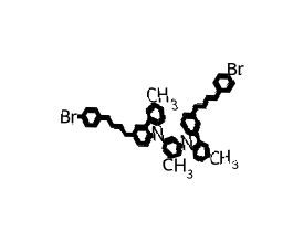 Cc1cc(-n2c3ccc(C)cc3c3cc(CCCCc4ccc(Br)cc4)ccc32)cc(-n2c3ccc(C)cc3c3cc(CCCCc4ccc(Br)cc4)ccc32)c1